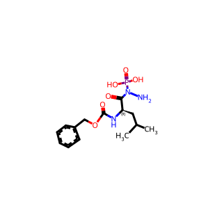 CC(C)C[C@@H](NC(=O)OCc1ccccc1)C(=O)N(N)P(=O)(O)O